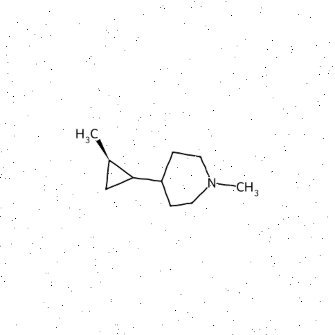 C[C@@H]1CC1C1CCN(C)CC1